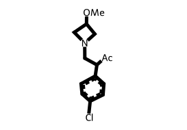 COC1CN(CC(C(C)=O)c2ccc(Cl)cc2)C1